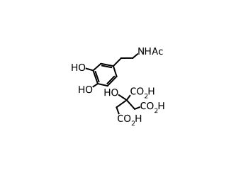 CC(=O)NCCc1ccc(O)c(O)c1.O=C(O)CC(O)(CC(=O)O)C(=O)O